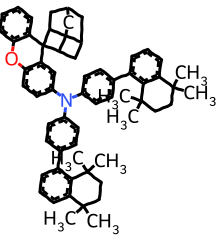 CC1(C)CCC(C)(C)c2c(-c3ccc(N(c4ccc(-c5cccc6c5C(C)(C)CCC6(C)C)cc4)c4ccc5c(c4)C4(c6ccccc6O5)C5CC6CC7CC4C75C6)cc3)cccc21